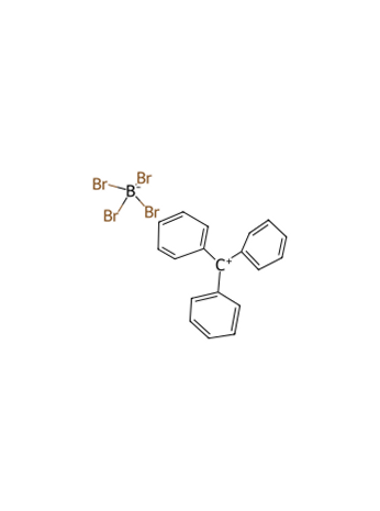 Br[B-](Br)(Br)Br.c1ccc([C+](c2ccccc2)c2ccccc2)cc1